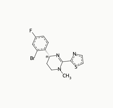 CN1CC[C@H](c2ccc(F)cc2Br)N=C1c1nccs1